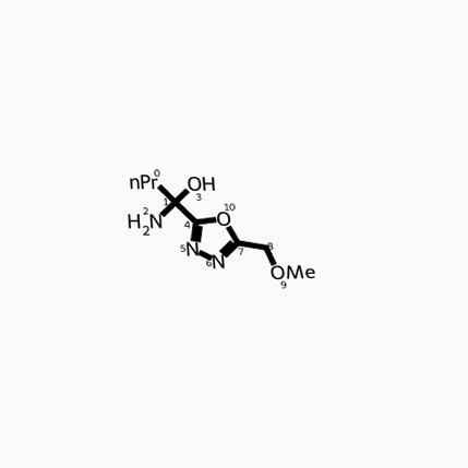 CCCC(N)(O)c1nnc(COC)o1